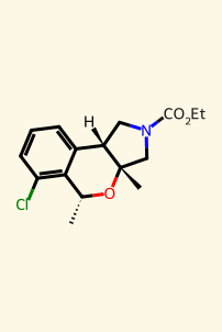 CCOC(=O)N1C[C@H]2c3cccc(Cl)c3[C@@H](C)O[C@@]2(C)C1